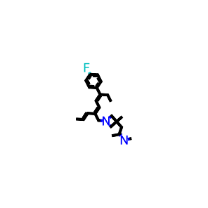 C/C=C/C(=C\C=C(/CC)c1ccc(F)cc1)CN1CC(C)(C/C(C)=N\C)C1